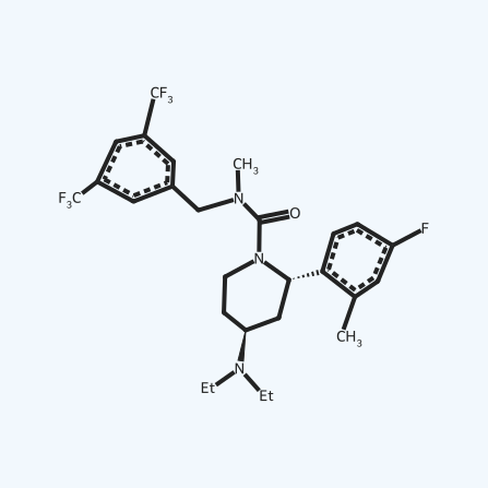 CCN(CC)[C@H]1CCN(C(=O)N(C)Cc2cc(C(F)(F)F)cc(C(F)(F)F)c2)[C@H](c2ccc(F)cc2C)C1